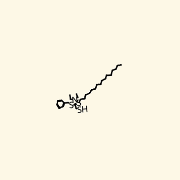 CCCCCCCCCCCCCCCCSC(CS)(SCc1ccccc1)N(CC)CC